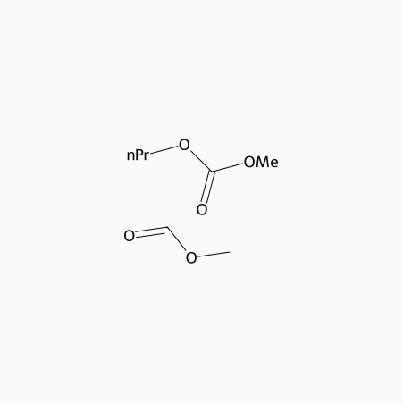 CCCOC(=O)OC.COC=O